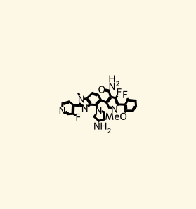 COc1cccc(F)c1-c1ncc(-c2ccc3c(nc(-c4ccncc4F)n3C)c2N2CC[C@H](N)C2)c(C(N)=O)c1F